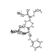 C=CCN(C(=O)OC(C)(C)C)C1CCN(C(=O)OCc2ccccc2)CC1.CC(=O)O[BH-](OC(C)=O)OC(C)=O.[Na+]